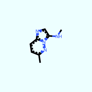 CNc1cnc2ccc(C)nn12